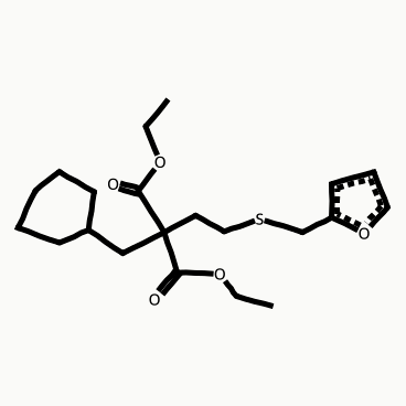 CCOC(=O)C(CCSCc1ccco1)(CC1CCCCC1)C(=O)OCC